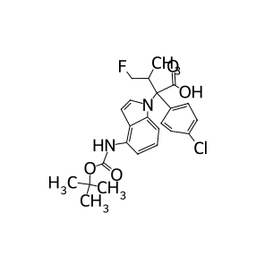 CC(CF)C(C(=O)O)(c1ccc(Cl)cc1)n1ccc2c(NC(=O)OC(C)(C)C)cccc21